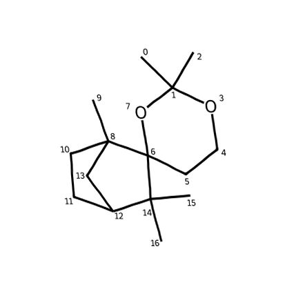 CC1(C)OCCC2(O1)C1(C)CCC(C1)C2(C)C